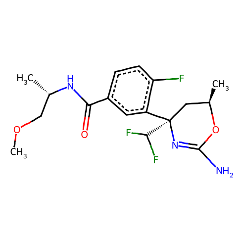 COC[C@H](C)NC(=O)c1ccc(F)c([C@@]2(C(F)F)C[C@@H](C)OC(N)=N2)c1